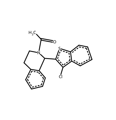 CC(=O)N1CCc2ccccc2C1c1sc2ccccc2c1Cl